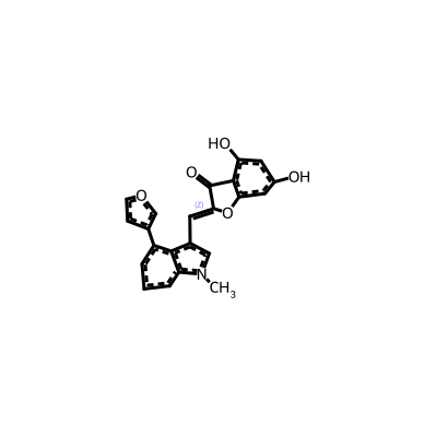 Cn1cc(/C=C2\Oc3cc(O)cc(O)c3C2=O)c2c(-c3ccoc3)cccc21